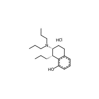 CCC[C@H]1c2c(O)cccc2CC[C@H]1N(CCC)CCC.Cl